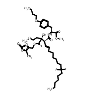 CCCCCCC(F)(F)CCCCCC/C=C/[C@H](C(=O)N[C@@H](Cc1ccc(OCCCC)cc1)C(=O)OC)[C@@](O)(CCOC)C(=O)OCc1oc(=O)oc1C